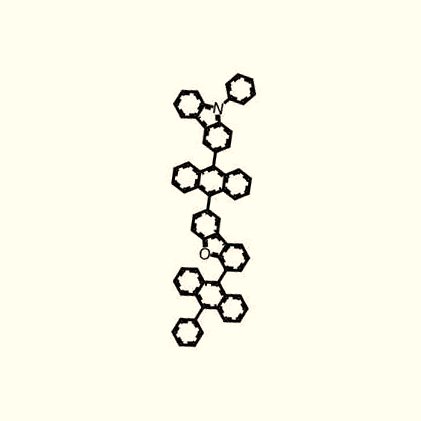 c1ccc(-c2c3ccccc3c(-c3cccc4c3oc3ccc(-c5c6ccccc6c(-c6ccc7c(c6)c6ccccc6n7-c6ccccc6)c6ccccc56)cc34)c3ccccc23)cc1